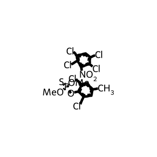 COP(=S)(OC)Oc1c(Cl)cc(C)cc1Cl.O=[N+]([O-])c1c(Cl)c(Cl)cc(Cl)c1Cl